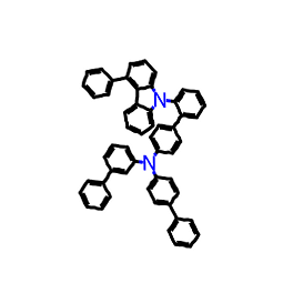 c1ccc(-c2ccc(N(c3ccc(-c4ccccc4-n4c5ccccc5c5c(-c6ccccc6)cccc54)cc3)c3cccc(-c4ccccc4)c3)cc2)cc1